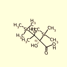 CC(C)([C@](O)(C(=O)O)[Si](C)(C)C)[Si](C)(C)C